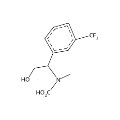 CN(C(=O)O)C(CO)c1cccc(C(F)(F)F)c1